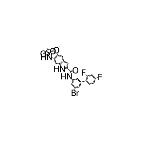 COc1cc2cc(C(=O)Nc3cc(Br)cc(-c4ccc(F)cc4F)c3)[nH]c2cc1NS(C)(=O)=O